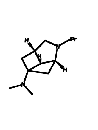 CC(C)N1C[C@H]2CC3(N(C)C)C[C@@H]1[C@@H]23